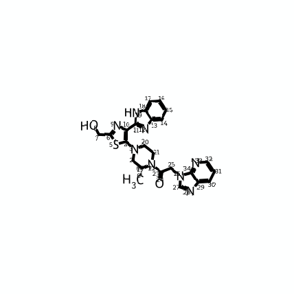 C[C@@H]1CN(c2sc(CO)nc2-c2nc3ccccc3[nH]2)CCN1C(=O)Cn1cnc2cccnc21